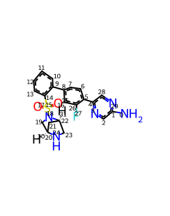 Nc1cnc(-c2ccc(-c3ccccc3S(=O)(=O)N3C[C@H]4C[C@@H]3CN4)cc2F)cn1